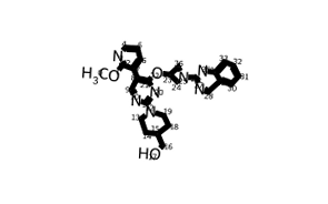 COc1ncccc1-c1cnc(N2CCC(CO)CC2)nc1OC1CN(c2ncc3ccccc3n2)C1